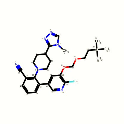 Cn1cnnc1C1CCN(c2c(C#N)cccc2-c2cnc(F)c(OCOCC[Si](C)(C)C)c2)CC1